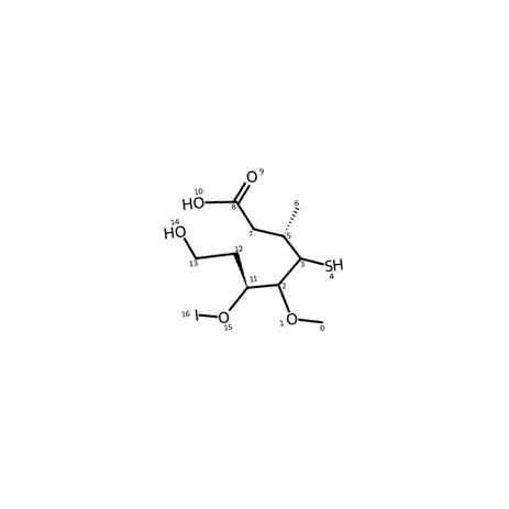 COC(C(S)[C@@H](C)CC(=O)O)[C@H](CCO)OI